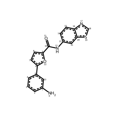 Nc1cccc(-c2ccc(C(=O)Nc3ccc4ncsc4c3)o2)c1